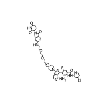 Nc1nccn2c(N3CCC4(CC3)CN(CCOCCOCCNc3ccc5c(c3)CN(C3CCC(=O)NC3=O)C5=O)C4)nc(-c3ccc(C(=O)Nc4cc(Cl)ccn4)cc3F)c12